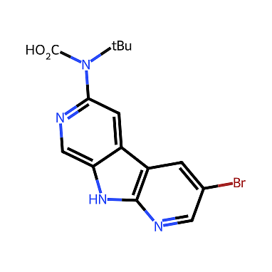 CC(C)(C)N(C(=O)O)c1cc2c(cn1)[nH]c1ncc(Br)cc12